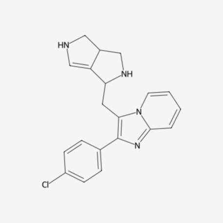 Clc1ccc(-c2nc3ccccn3c2CC2NCC3CNC=C32)cc1